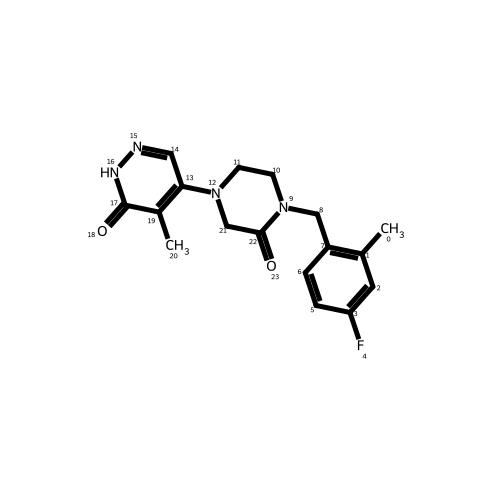 Cc1cc(F)ccc1CN1CCN(c2cn[nH]c(=O)c2C)CC1=O